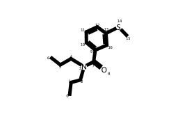 CCCN(CCC)C(=O)c1cccc(SC)c1